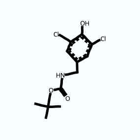 CC(C)(C)OC(=O)NCc1cc(Cl)c(O)c(Cl)c1